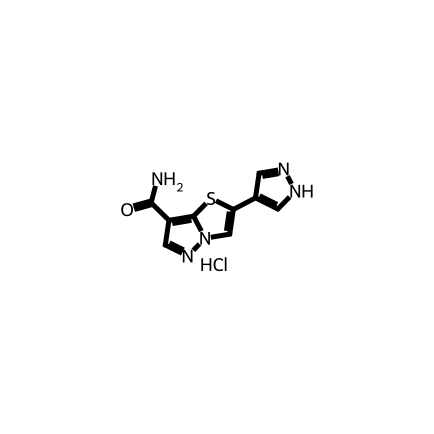 Cl.NC(=O)c1cnn2cc(-c3cn[nH]c3)sc12